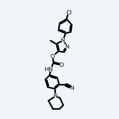 Cc1c(OC(=O)Nc2ccc(N3CCCCC3)c(C#N)c2)cnn1-c1ccc(Cl)cc1